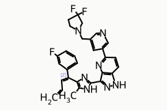 C=C/C=C(/c1cccc(F)c1)c1nc(-c2n[nH]c3ccc(-c4cncc(CN5CCC(F)(F)C5)c4)nc23)[nH]c1C